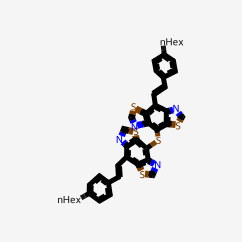 CCCCCCc1ccc(/C=C/c2c3ncsc3c(Sc3c4ncsc4c(/C=C/c4ccc(CCCCCC)cc4)c4ncsc34)c3ncsc23)cc1